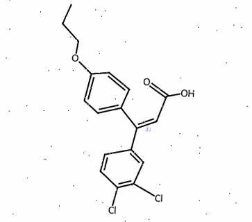 CCCOc1ccc(/C(=C\C(=O)O)c2ccc(Cl)c(Cl)c2)cc1